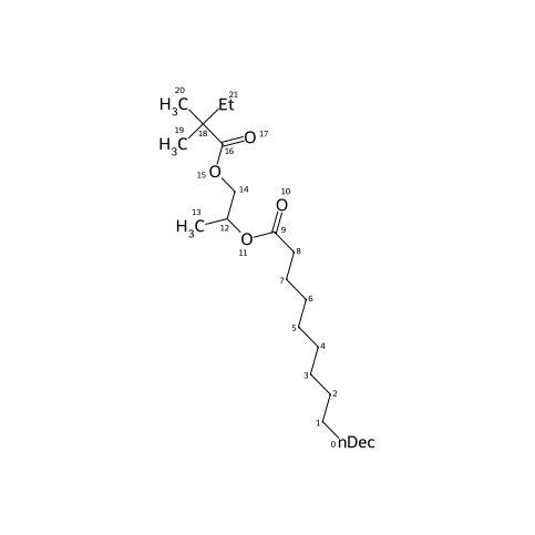 CCCCCCCCCCCCCCCCCCC(=O)OC(C)COC(=O)C(C)(C)CC